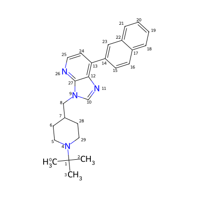 CC(C)(C)N1CCC(Cn2cnc3c(-c4ccc5ccccc5c4)ccnc32)CC1